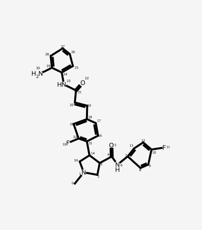 CN1CC(C(=O)Nc2ccc(F)cc2)C(c2ccc(/C=C/C(=O)Nc3ccccc3N)cc2F)C1